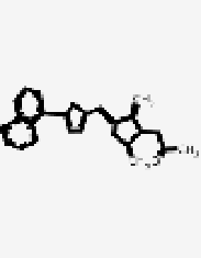 C=C1C/C(=C\C2=CC=C(c3cccc4ccccc34)C2)C(=C)C1CC(C)=O